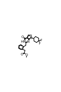 COC(=O)Cc1ccccc1Cc1nc2c(cnn2C2CCC(F)(F)CC2)c(=O)[nH]1